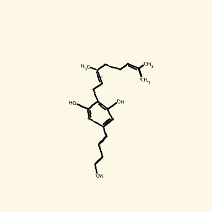 CC(C)=CCC/C(C)=C/Cc1c(O)cc(CCCCO)cc1O